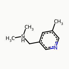 Cc1cncc(C[SiH](C)C)c1